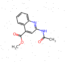 COC(=O)c1cc(NC(C)=O)nc2ccccc12